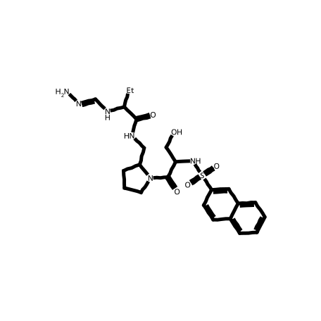 CCC(NC=NN)C(=O)NCC1CCCN1C(=O)C(CO)NS(=O)(=O)c1ccc2ccccc2c1